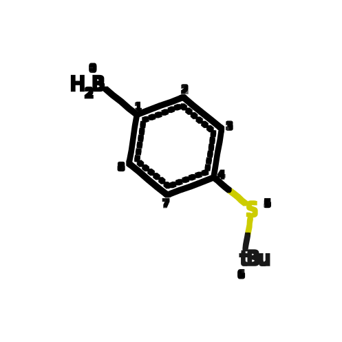 Bc1ccc(SC(C)(C)C)cc1